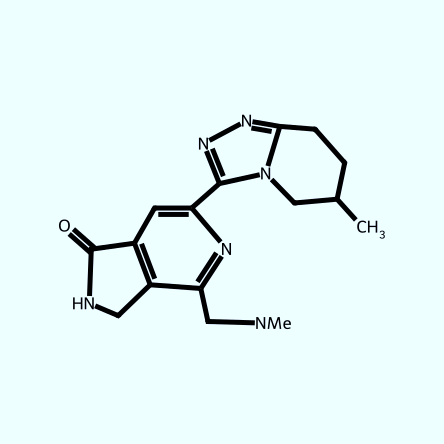 CNCc1nc(-c2nnc3n2CC(C)CC3)cc2c1CNC2=O